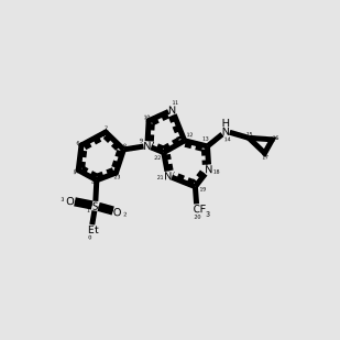 CCS(=O)(=O)c1cccc(-n2cnc3c(NC4CC4)nc(C(F)(F)F)nc32)c1